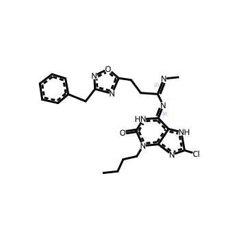 CCCCn1c(=O)[nH]/c(=N\C(CCc2nc(Cc3ccccc3)no2)=N/C)c2[nH]c(Cl)nc21